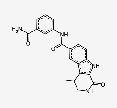 CC1CNC(=O)c2[nH]c3ccc(C(=O)Nc4cccc(C(N)=O)c4)cc3c21